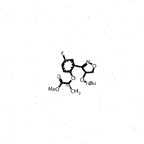 CCCCOC1CON=C1c1cc(F)ccc1O[C@@H](C)C(=O)OC